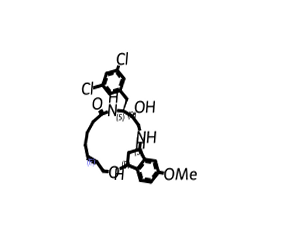 COc1ccc2c(c1)[C@@H]1C[C@H]2OC/C=C/CCCC(=O)N[C@@H](Cc2cc(Cl)cc(Cl)c2)[C@H](O)CN1